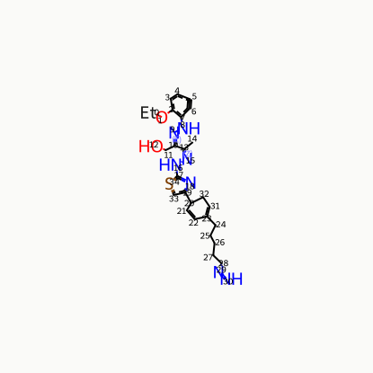 CCOc1ccc#cc1N/N=C(CO)\C(C)=N/Nc1nc(C2C=CC(CCCCCN=N)=CC2)cs1